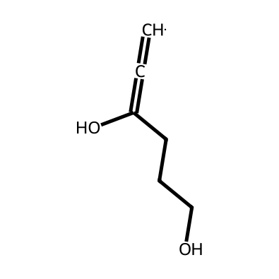 [CH]=C=C(O)CCCO